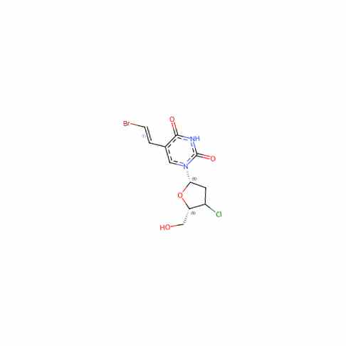 O=c1[nH]c(=O)n([C@@H]2CC(Cl)[C@H](CO)O2)cc1/C=C/Br